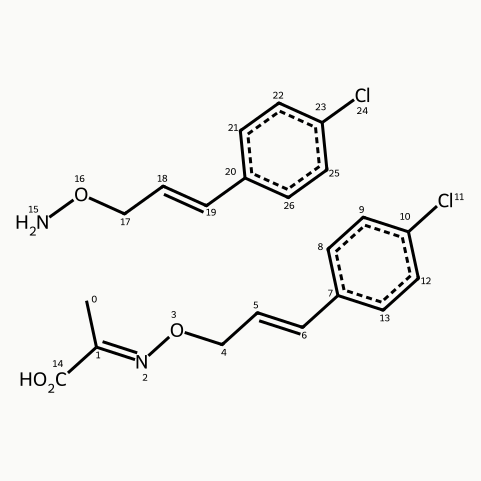 CC(=NOCC=Cc1ccc(Cl)cc1)C(=O)O.NOCC=Cc1ccc(Cl)cc1